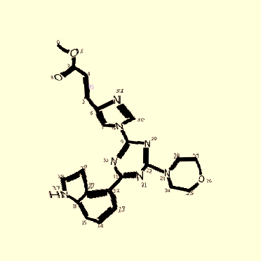 COC(=O)/C=C/c1cn(-c2nc(-c3cccc4[nH]ccc34)nc(N3CCOCC3)n2)cn1